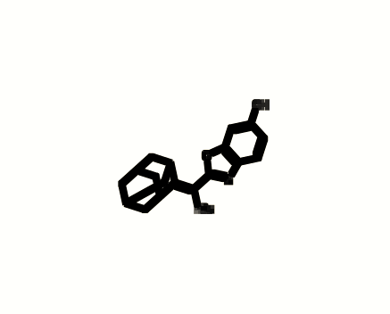 CCCCC(=C1C2CC3CC(C2)CC1C3)c1nc2ccc(O)cc2o1